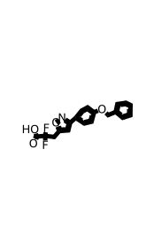 O=C(O)C(F)(F)Cc1cc(-c2ccc(OCc3ccccc3)cc2)no1